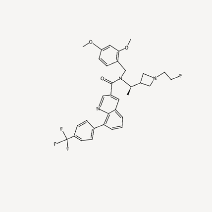 COc1ccc(CN(C(=O)c2cnc3c(-c4ccc(C(F)(F)F)cc4)cccc3c2)[C@H](C)C2CN(CCF)C2)c(OC)c1